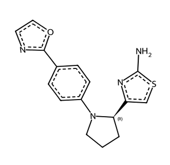 Nc1nc([C@H]2CCCN2c2ccc(-c3ncco3)cc2)cs1